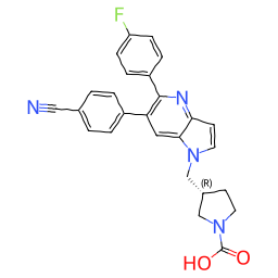 N#Cc1ccc(-c2cc3c(ccn3C[C@@H]3CCN(C(=O)O)C3)nc2-c2ccc(F)cc2)cc1